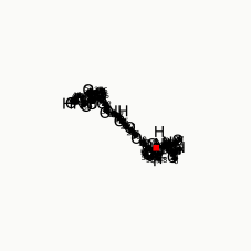 COc1cnc(OC)n2nc(NS(=O)(=O)c3c(OCCOCCOCCOCCNC(=O)COc4cccc5c4C(=O)N(C4CCC(=O)NC4=O)C5=O)cccc3C(F)(F)F)nc12